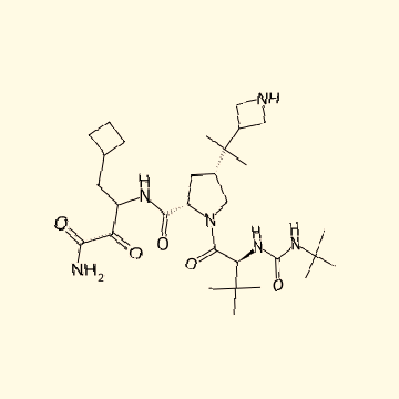 CC(C)(C)NC(=O)N[C@H](C(=O)N1C[C@@H](C(C)(C)C2CNC2)C[C@H]1C(=O)NC(CC1CCC1)C(=O)C(N)=O)C(C)(C)C